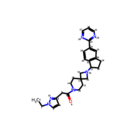 CCn1ccc(CC(=O)N2CCC3(CC2)CN(C2CCc4cc(-c5ncccn5)ccc42)C3)n1